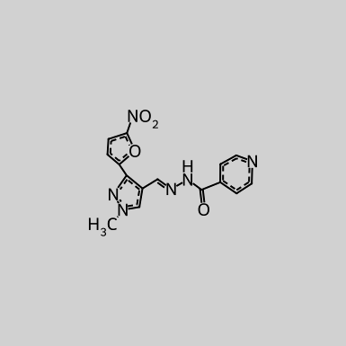 Cn1cc(/C=N/NC(=O)c2ccncc2)c(-c2ccc([N+](=O)[O-])o2)n1